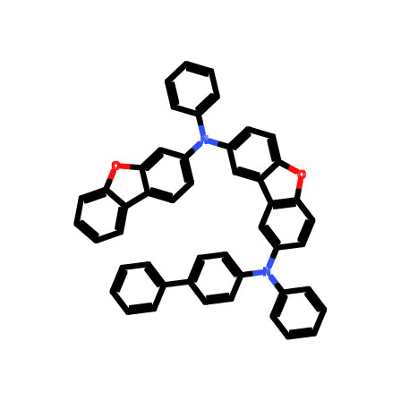 c1ccc(-c2ccc(N(c3ccccc3)c3ccc4oc5ccc(N(c6ccccc6)c6ccc7c(c6)oc6ccccc67)cc5c4c3)cc2)cc1